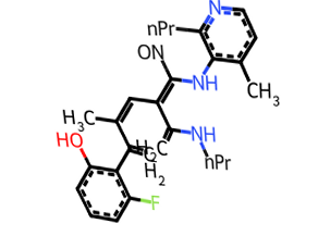 C=C(NCCC)C(/C=C(/C)C(=C)c1c(O)cccc1F)=C(/N=O)Nc1c(C)ccnc1CCC